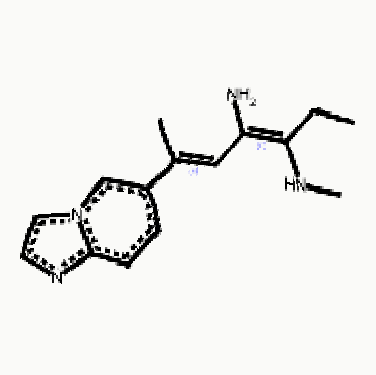 CC/C(NC)=C(N)/C=C(\C)c1ccc2nccn2c1